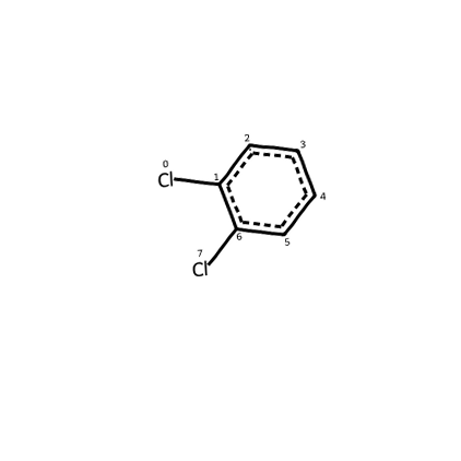 Clc1[c]cccc1Cl